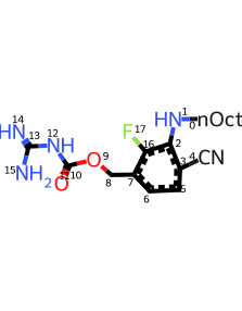 CCCCCCCCNc1c(C#N)ccc(COC(=O)NC(=N)N)c1F